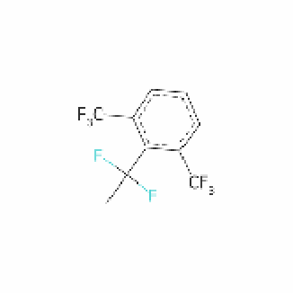 CC(F)(F)c1c(C(F)(F)F)cccc1C(F)(F)F